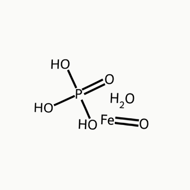 O.O=P(O)(O)O.[O]=[Fe]